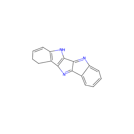 C1=Cc2[nH]c3c(c2CC1)N=C1C3=Nc2ccccc21